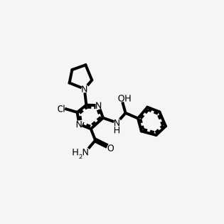 NC(=O)c1nc(Cl)c(N2CCCC2)nc1NC(O)c1ccccc1